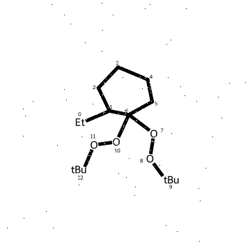 CCC1CCCCC1(OOC(C)(C)C)OOC(C)(C)C